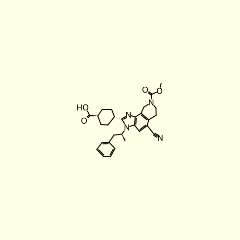 COC(=O)N1CCc2c(C#N)cc3c(nc([C@H]4CC[C@H](C(=O)O)CC4)n3[C@@H](C)Cc3ccccc3)c2C1